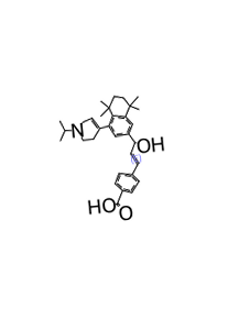 CC(C)N1CC=C(c2cc(C(O)/C=C/c3ccc(C(=O)O)cc3)cc3c2C(C)(C)CCC3(C)C)CC1